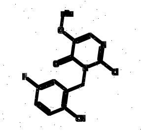 CCCCOc1cnc(Cl)n(Cc2cc(F)ccc2C#N)c1=O